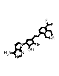 Nc1ncnc2c1ccn2C1C=C(CCc2ccc(C(F)F)c3c2CNCC3)C(O)C1O